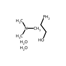 CN(C)C.O.O.OCCP